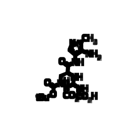 Cn1ncc(NC(=O)[C@H](CNC(=O)OC(C)(C)C)NC(NC(=O)O)NC(=O)O)c1N